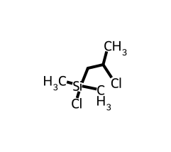 CC(Cl)C[Si](C)(C)Cl